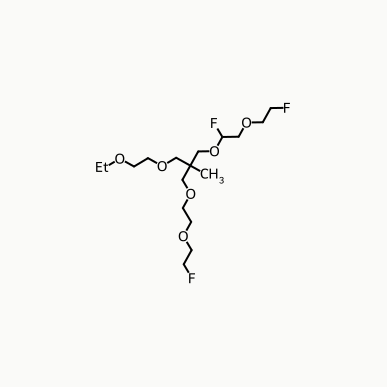 CCOCCOCC(C)(COCCOCCF)COC(F)COCCF